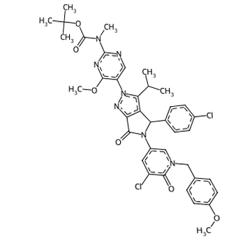 COc1ccc(Cn2cc(N3C(=O)c4nn(-c5cnc(N(C)C(=O)OC(C)(C)C)nc5OC)c(C(C)C)c4C3c3ccc(Cl)cc3)cc(Cl)c2=O)cc1